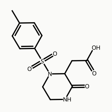 Cc1ccc(S(=O)(=O)N2CCNC(=O)C2CC(=O)O)cc1